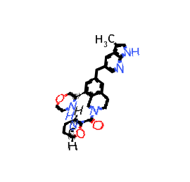 Cc1c[nH]c2ncc(Cc3cc4c(c([C@@H]5COCCN5)c3)CN(C(=O)N3C[C@H]5CC[C@@H]3CO5)CC4)cc12